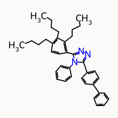 CCCCc1ccc(-c2nnc(-c3ccc(-c4ccccc4)cc3)n2-c2ccccc2)c(CCCC)c1CCCC